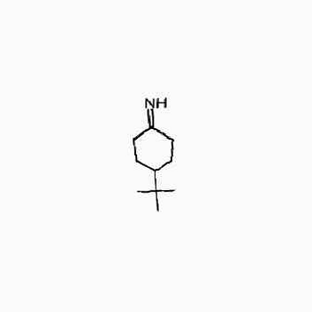 CC(C)(C)C1CCC(=N)CC1